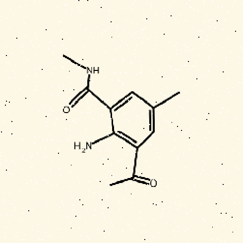 CNC(=O)c1cc(C)cc(C(C)=O)c1N